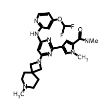 CNC(=O)c1cc(-c2nc(Nc3cc(OC(F)F)ccn3)cc(N3CC4(CCN(C)CC4)C3)n2)cn1C